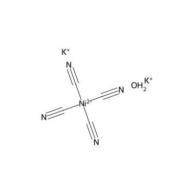 N#[C][Ni-2]([C]#N)([C]#N)[C]#N.O.[K+].[K+]